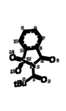 CC(C)(C)C(=O)N1C(=O)c2ccccc2S1(=O)=O